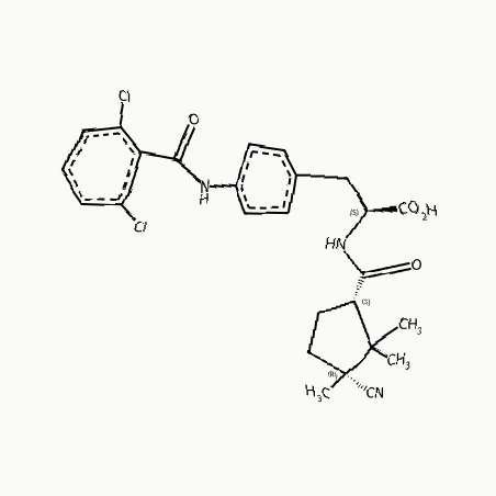 CC1(C)[C@@H](C(=O)N[C@@H](Cc2ccc(NC(=O)c3c(Cl)cccc3Cl)cc2)C(=O)O)CC[C@@]1(C)C#N